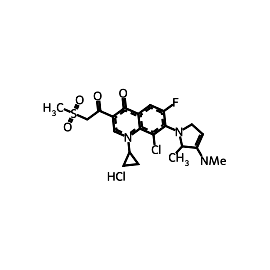 CNC1=CCN(c2c(F)cc3c(=O)c(C(=O)CS(C)(=O)=O)cn(C4CC4)c3c2Cl)C1C.Cl